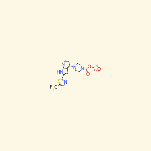 O=C(OC1COC1)N1CCN(c2ccnc3[nH]c(-c4ncc(C(F)(F)F)s4)cc23)CC1